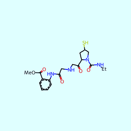 CCNC(=O)N1CC(S)CC1C(=O)CNCC(=O)Nc1ccccc1C(=O)OC